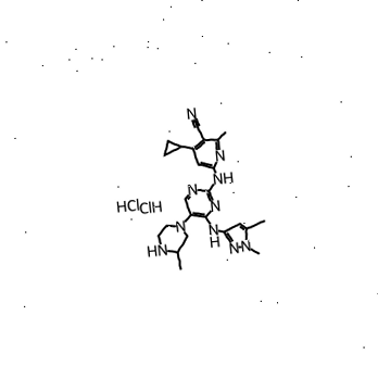 Cc1nc(Nc2ncc(N3CCNC(C)C3)c(Nc3cc(C)n(C)n3)n2)cc(C2CC2)c1C#N.Cl.Cl